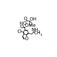 COC(=O)c1cc(CC(C)N)c2occc2c1Cl.O=C(O)C(=O)O